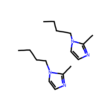 CCCCn1ccnc1C.CCCCn1ccnc1C